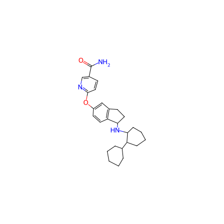 NC(=O)c1ccc(Oc2ccc3c(c2)CCC3NC2CCCCC2C2CCCCC2)nc1